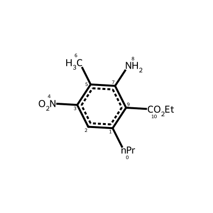 CCCc1cc([N+](=O)[O-])c(C)c(N)c1C(=O)OCC